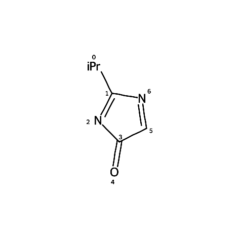 CC(C)C1=NC(=O)C=N1